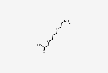 NCCOCCCOCC(=O)S